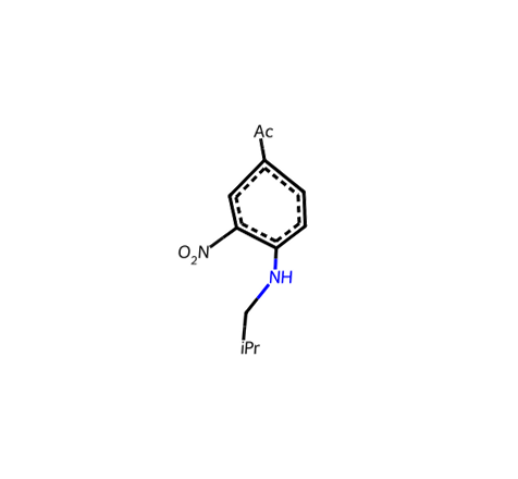 CC(=O)c1ccc(NCC(C)C)c([N+](=O)[O-])c1